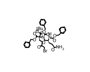 CC(C)(C)OC(=O)[C@@](CCC(=O)CBr)(C(=O)OCc1ccccc1)N(C(=O)OCc1ccccc1)C(=O)[C@H](CCC(N)=O)NC(=O)OCc1ccccc1